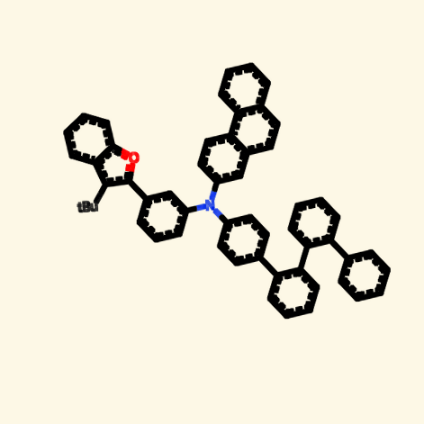 CC(C)(C)c1c(-c2cccc(N(c3ccc(-c4ccccc4-c4ccccc4-c4ccccc4)cc3)c3ccc4c(ccc5ccccc54)c3)c2)oc2ccccc12